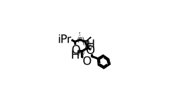 CC(C)C1O[C@@H]2COC(c3ccccc3)O[C@@H]2[C@H](C)[C@H]1C